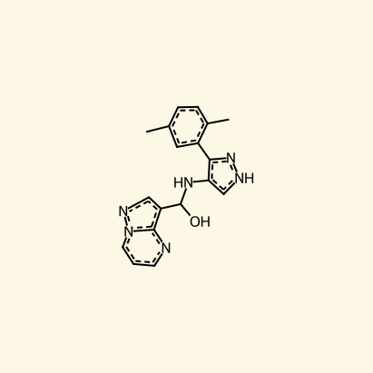 Cc1ccc(C)c(-c2n[nH]cc2NC(O)c2cnn3cccnc23)c1